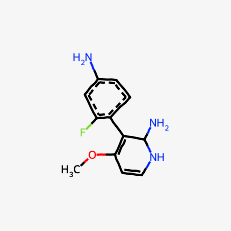 COC1=C(c2ccc(N)cc2F)C(N)NC=C1